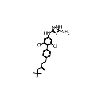 C=C(CCc1ccc(-c2c(Cl)cc(Nc3n[nH]c(N)n3)cc2Cl)cc1)CC(C)(C)C